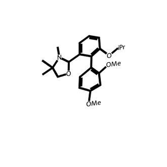 COc1ccc(-c2c(OC(C)C)cccc2C2OCC(C)(C)N2C)c(OC)c1